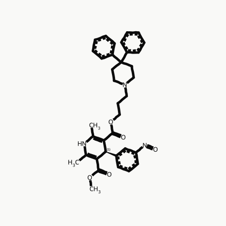 COC(=O)C1=C(C)NC(C)=C(C(=O)OCCCN2CCC(c3ccccc3)(c3ccccc3)CC2)[C@H]1c1cccc(N=O)c1